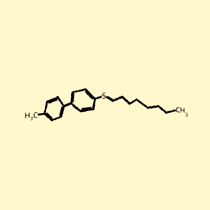 CCCCCCCCSc1ccc(-c2ccc(C)cc2)cc1